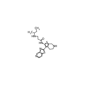 CCC(C)NCCC(=O)Nc1sc2c(c1-c1nc3cnccc3s1)CCNC2